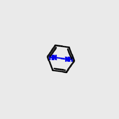 c1cc2ccc1NN2